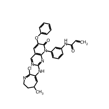 C=CC(=O)Nc1cccc(-n2c(=O)c(Oc3ccccc3)cc3cnc(NC4=CC(C)CCN=C4Cl)nc32)c1